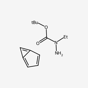 CCN(N)C(=O)OC(C)(C)C.c1cc2cc-2c1